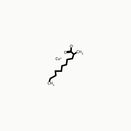 CCCCCCCCCC(C)C(=O)[O-].[Cu+]